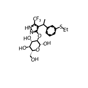 CCSc1cccc(C(C)c2c(O[C@@H]3[C@@H](O)[C@H](O)[C@@H](CO)O[C@H]3O)n[nH]c2C(F)(F)F)c1